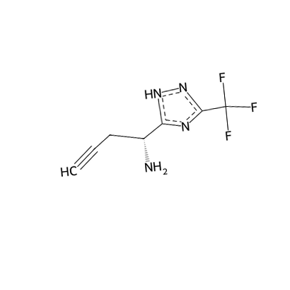 C#CC[C@@H](N)c1nc(C(F)(F)F)n[nH]1